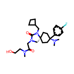 CN(CCO)C(=O)CN1C[C@]2(CC[C@](c3ccc(F)cc3)(N(C)C)CC2)N(CC2CCC2)C1=O